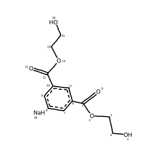 O=C(OCCO)c1cccc(C(=O)OCCO)c1.[NaH]